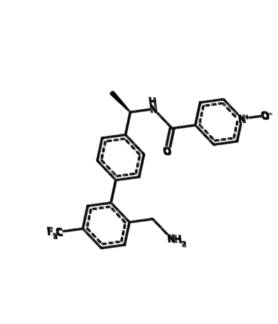 C[C@@H](NC(=O)c1cc[n+]([O-])cc1)c1ccc(-c2cc(C(F)(F)F)ccc2CN)cc1